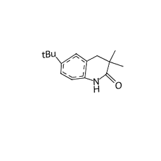 CC1(C)Cc2cc(C(C)(C)C)ccc2NC1=O